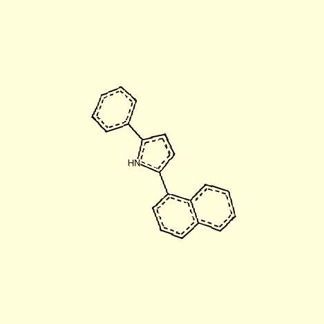 c1ccc(-c2ccc(-c3cccc4ccccc34)[nH]2)cc1